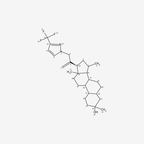 CC1C[C@H](C(=O)Cn2ccc(C(F)(F)F)n2)C2(C)CCC3C4CCC(C)(O)CC4CCC3C12